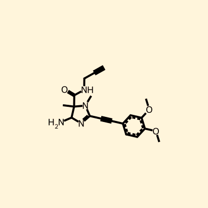 C#CCNC(=O)C1(C)C(N)N=C(C#Cc2ccc(OC)c(OC)c2)N1C